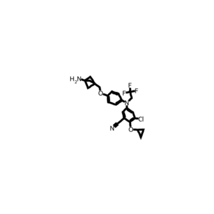 N#Cc1cc(N(CC(F)(F)F)c2ccc(OCC34CC(N)(C3)C4)cc2)cc(Cl)c1OC1CC1